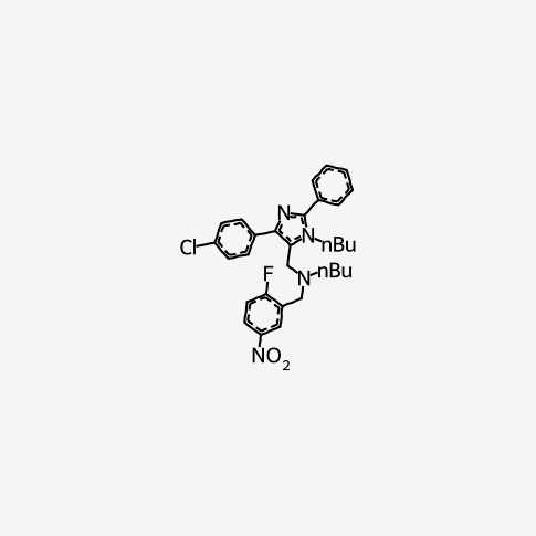 CCCCN(Cc1cc([N+](=O)[O-])ccc1F)Cc1c(-c2ccc(Cl)cc2)nc(-c2ccccc2)n1CCCC